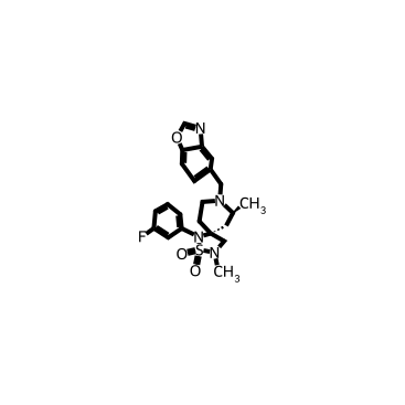 C[C@H]1C[C@]2(CCN1Cc1ccc3ocnc3c1)CN(C)S(=O)(=O)N2c1cccc(F)c1